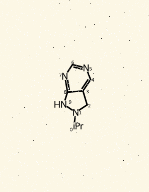 CC(C)N1Cc2cncnc2N1